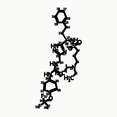 CCN(CC)CCCS(=O)(=O)N[C@H](CCc1ccccc1)c1nc(CNC(=O)Nc2ccc(OC(F)(F)F)cc2)n[nH]1